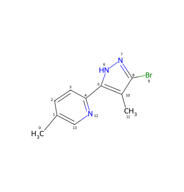 Cc1ccc(-c2[nH]nc(Br)c2C)nc1